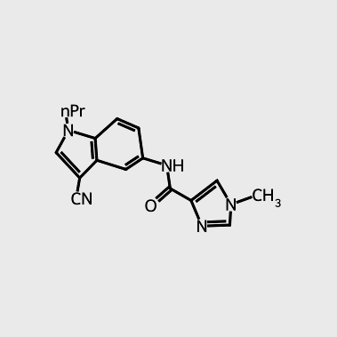 CCCn1cc(C#N)c2cc(NC(=O)c3cn(C)cn3)ccc21